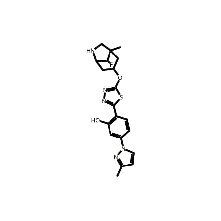 Cc1ccn(-c2ccc(-c3nnc(OC4CC5NCC(C)(C4)C5F)s3)c(O)c2)n1